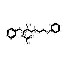 O=C(O)N[C@@H](Cc1ccccc1)[C@@H](O)CNCCOc1ccccc1